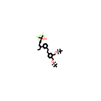 CC/C(=C/C#CC(O)(C(F)(F)F)C(F)(F)F)c1cccc(CCc2ccc(CO[Si](C)(C)C(C)(C)C)c(CO[Si](C)(C)C(C)(C)C)c2)c1